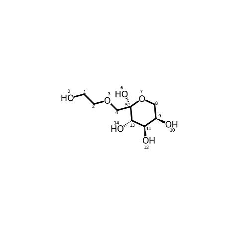 OCCOC[C@@]1(O)OC[C@@H](O)[C@@H](O)[C@@H]1O